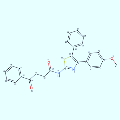 COc1ccc(-c2nc(NC(=O)CCC(=O)c3ccccc3)sc2-c2ccccc2)cc1